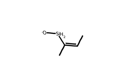 CC=C(C)[SiH2][O]